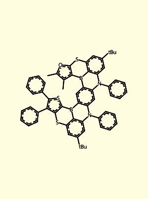 Cc1oc2c(c1C)B1c3cc4c(cc3N(c3ccccc3)c3cc(C(C)(C)C)cc(c31)S2)N(c1ccccc1)c1cc(C(C)(C)C)cc2c1B4c1sc(-c3ccccc3)c(-c3ccccc3)c1S2